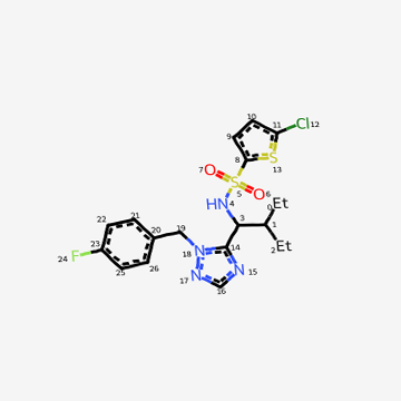 CCC(CC)C(NS(=O)(=O)c1ccc(Cl)s1)c1ncnn1Cc1ccc(F)cc1